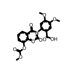 COC(=O)Oc1cccc2c(=O)n(-c3cc(OC)c(OC)cc3C(=O)O)c(=O)oc12